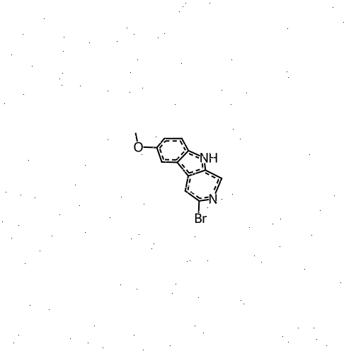 COc1ccc2[nH]c3cnc(Br)cc3c2c1